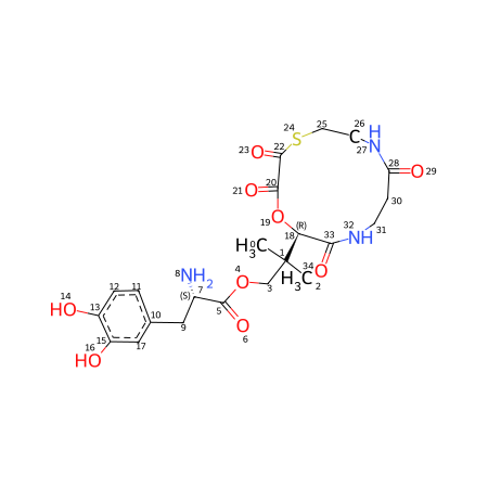 CC(C)(COC(=O)[C@@H](N)Cc1ccc(O)c(O)c1)[C@H]1OC(=O)C(=O)SCCNC(=O)CCNC1=O